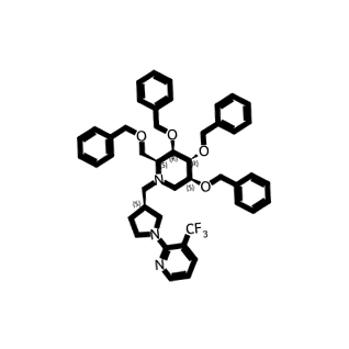 FC(F)(F)c1cccnc1N1CC[C@@H](CN2C[C@H](OCc3ccccc3)[C@@H](OCc3ccccc3)[C@H](OCc3ccccc3)[C@@H]2COCc2ccccc2)C1